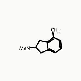 CNC1Cc2cccc(C)c2C1